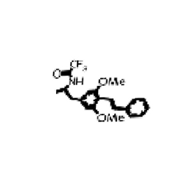 COc1cc(CC(C)NC(=O)C(F)(F)F)cc(OC)c1C=Cc1ccccc1